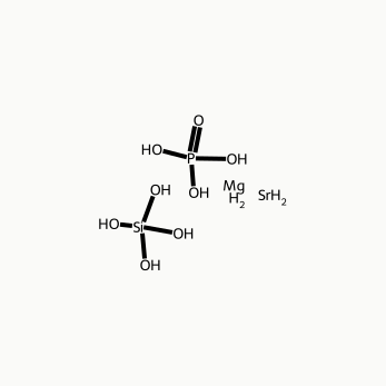 O=P(O)(O)O.O[Si](O)(O)O.[MgH2].[SrH2]